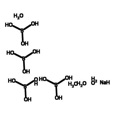 O.O.O.O.OB(O)O.OB(O)O.OB(O)O.OB(O)O.[NaH]